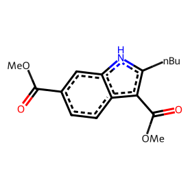 CCCCc1[nH]c2cc(C(=O)OC)ccc2c1C(=O)OC